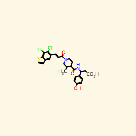 CC1CN(C(=O)C=Cc2cc3ccsc3c(Cl)c2Cl)CCC1C(=O)NC(CC(=O)O)c1ccc(O)cc1